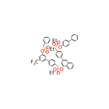 CCOP(=O)(Cc1ccc(-c2cc(OP(=O)(Cc3ccc(-c4cc(OP(=O)(Cc5ccccc5)OCC)cc(C(F)(F)F)c4)cc3)OCC)c3ccccc3c2)cc1)Oc1ccc(-c2ccccc2)cc1